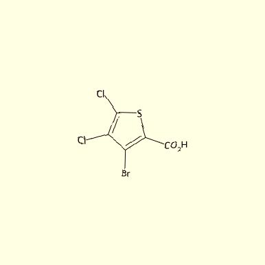 O=C(O)c1sc(Cl)c(Cl)c1Br